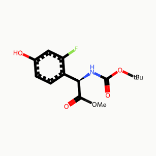 COC(=O)[C@H](NC(=O)OC(C)(C)C)c1ccc(O)cc1F